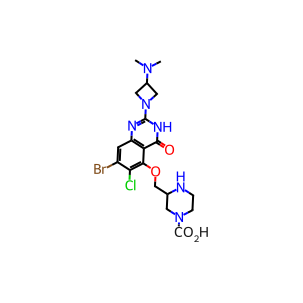 CN(C)C1CN(c2nc3cc(Br)c(Cl)c(OCC4CN(C(=O)O)CCN4)c3c(=O)[nH]2)C1